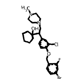 CN1CCN(CC(c2ccc(OCc3ccc(Br)cc3F)c(Cl)c2)C2(O)CCCCC2)CC1